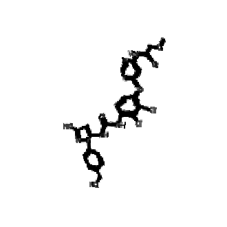 COCC(=O)Nc1cc(Oc2ccc(NC(=O)Nc3cc(O)nn3-c3ccc(CO)cc3)c(Cl)c2Cl)ncn1